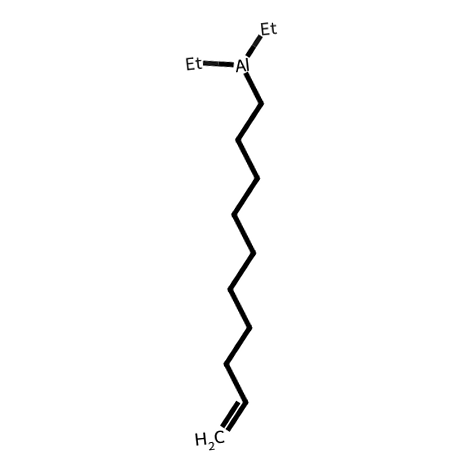 C=CCCCCCCC[CH2][Al]([CH2]C)[CH2]C